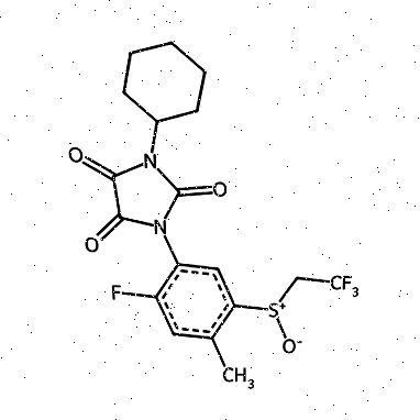 Cc1cc(F)c(N2C(=O)C(=O)N(C3CCCCC3)C2=O)cc1[S+]([O-])CC(F)(F)F